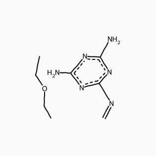 C=Nc1nc(N)nc(N)n1.CCOCC